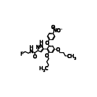 CCCCOc1cc(OCCCC)c(-c2cc(C(=O)NCCF)n[nH]2)c(Oc2ccc([N+](=O)[O-])cc2)c1